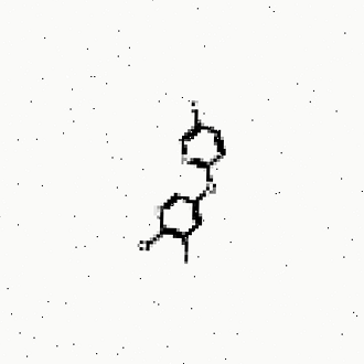 Fc1ccc(Oc2cnc(Cl)c(F)c2)nc1